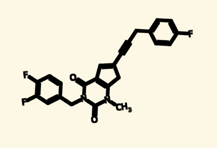 Cn1c2c(c(=O)n(Cc3ccc(F)c(F)c3)c1=O)C=C(C#CCc1ccc(F)cc1)C2